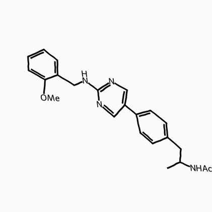 COc1ccccc1CNc1ncc(-c2ccc(CC(C)NC(C)=O)cc2)cn1